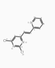 Clc1cc(/C=C/c2ccccn2)nc(Cl)n1